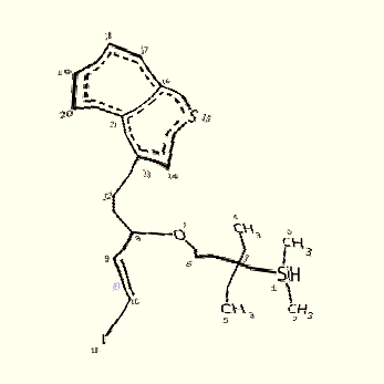 C[SiH](C)C(C)(C)COC(/C=C/I)Cc1csc2ccccc12